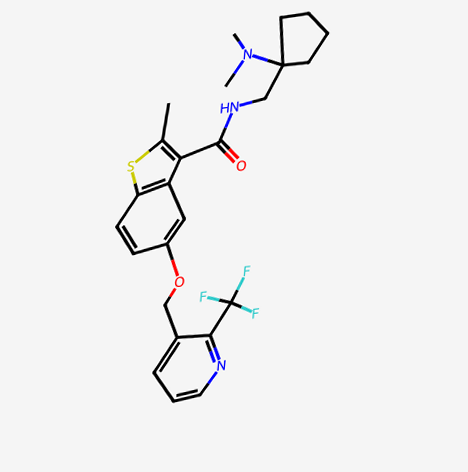 Cc1sc2ccc(OCc3cccnc3C(F)(F)F)cc2c1C(=O)NCC1(N(C)C)CCCC1